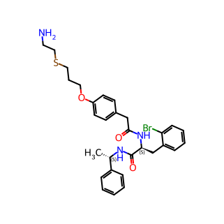 C[C@H](NC(=O)[C@H](Cc1ccccc1Br)NC(=O)Cc1ccc(OCCCSCCN)cc1)c1ccccc1